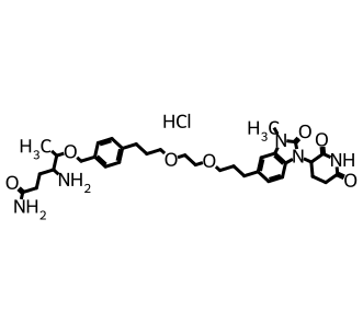 CC(OCc1ccc(CCCOCCOCCCc2ccc3c(c2)n(C)c(=O)n3C2CCC(=O)NC2=O)cc1)C(N)CCC(N)=O.Cl